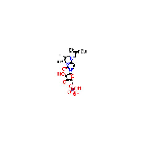 CCCCC(CC)CN(CC(CC)CCCC)c1ccn([C@@H]2O[C@H](COP(=O)(O)O)[C@@H](O)[C@H]2O)c(=O)n1